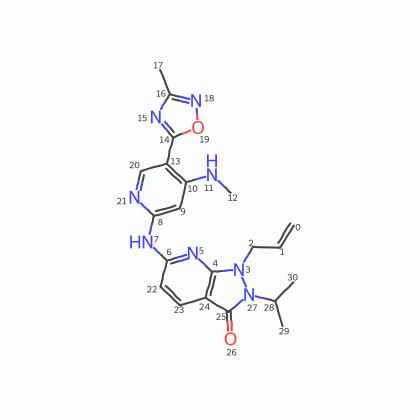 C=CCn1c2nc(Nc3cc(NC)c(-c4nc(C)no4)cn3)ccc2c(=O)n1C(C)C